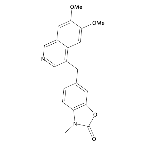 COc1cc2cncc(Cc3ccc4c(c3)oc(=O)n4C)c2cc1OC